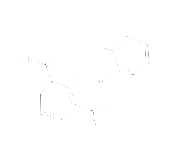 CC(=O)c1cccc(C(=O)Cl)c1OC(=O)c1ccccc1O